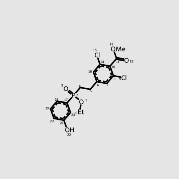 CCOP(=O)(CCc1cc(Cl)c(C(=O)OC)c(Cl)c1)c1cccc(O)c1